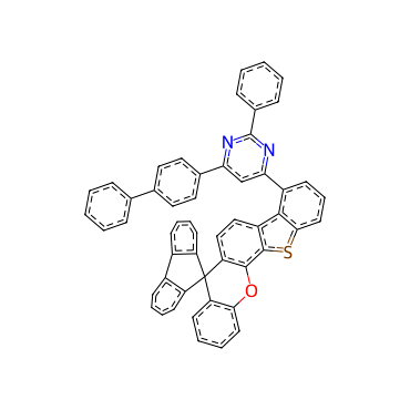 c1ccc(-c2ccc(-c3cc(-c4cccc5sc6c7c(ccc6c45)C4(c5ccccc5O7)c5ccccc5-c5ccccc54)nc(-c4ccccc4)n3)cc2)cc1